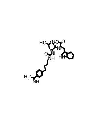 N=C(N)c1ccc(CCCCNC(=O)N[C@@H](CC(=O)O)C(=O)NC(Cc2c[nH]c3ccccc23)C(=O)O)cc1